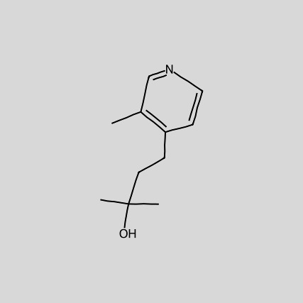 Cc1cnccc1CCC(C)(C)O